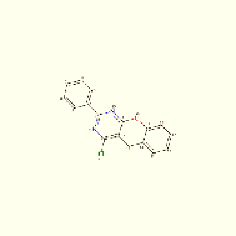 Clc1nc(-c2ccccc2)nc2c1Cc1ccccc1O2